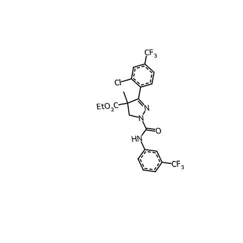 CCOC(=O)C1(C)CN(C(=O)Nc2cccc(C(F)(F)F)c2)N=C1c1ccc(C(F)(F)F)cc1Cl